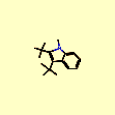 Cn1c(C(C)(C)C)c(C(C)(C)C)c2ccccc21